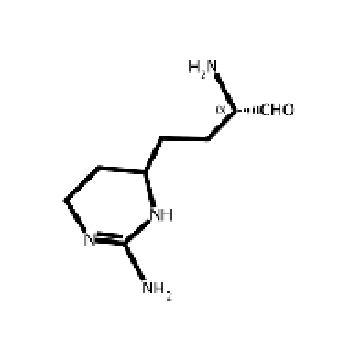 NC1=NCCC(CC[C@H](N)C=O)N1